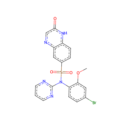 COc1cc(Br)ccc1N(c1ncccn1)S(=O)(=O)c1ccc2[nH]c(=O)cnc2c1